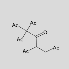 CC(=O)CC(C(C)=O)C(=O)C(C(C)=O)(C(C)=O)C(C)=O